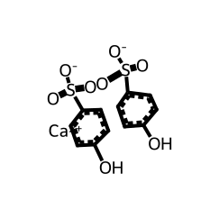 O=S(=O)([O-])c1ccc(O)cc1.O=S(=O)([O-])c1ccc(O)cc1.[Ca+2]